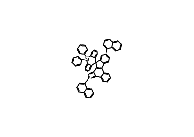 c1ccc([Si]2(c3ccccc3)c3ccccc3C3(c4cc(-c5cccc6ccccc56)ccc4-c4c3c3ccc(-c5cccc6ccccc56)cc3c3ccccc43)c3ccccc32)cc1